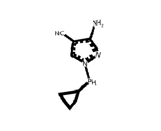 N#Cc1cn(PC2CC2)nc1N